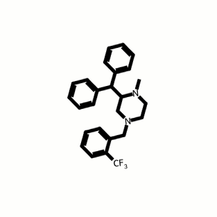 CN1CCN(Cc2ccccc2C(F)(F)F)CC1C(c1ccccc1)c1ccccc1